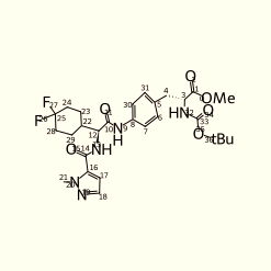 COC(=O)[C@@H](Cc1ccc(NC(=O)[C@@H](NC(=O)c2ccnn2C)C2CCC(F)(F)CC2)cc1)NC(=O)OC(C)(C)C